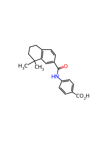 CC1(C)CCCc2ccc(C(=O)Nc3ccc(C(=O)O)cc3)cc21